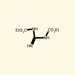 CCOC(=O)NC(=N)NC(=O)OCC